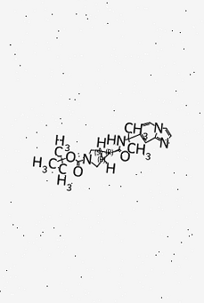 CC(C)(C)OC(=O)N1C[C@@H]2[C@H](C1)[C@H]2C(=O)NC(C)(C)c1ccn2ccnc2c1